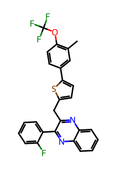 Cc1cc(-c2ccc(Cc3nc4ccccc4nc3-c3ccccc3F)s2)ccc1OC(F)(F)F